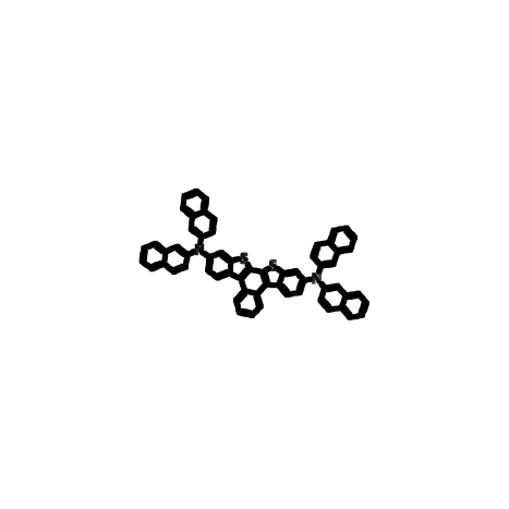 c1ccc2cc(N(c3ccc4ccccc4c3)c3ccc4c(c3)sc3c5sc6cc(N(c7ccc8ccccc8c7)c7ccc8ccccc8c7)ccc6c5c5ccccc5c43)ccc2c1